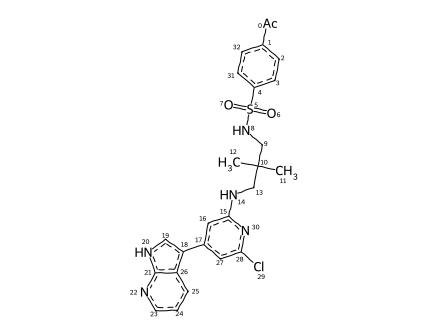 CC(=O)c1ccc(S(=O)(=O)NCC(C)(C)CNc2cc(-c3c[nH]c4ncccc34)cc(Cl)n2)cc1